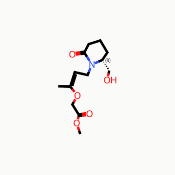 COC(=O)COC(C)=CCN1C(=O)CCC[C@@H]1CO